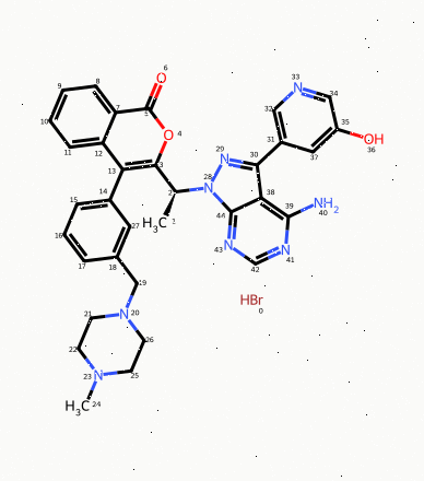 Br.C[C@@H](c1oc(=O)c2ccccc2c1-c1cccc(CN2CCN(C)CC2)c1)n1nc(-c2cncc(O)c2)c2c(N)ncnc21